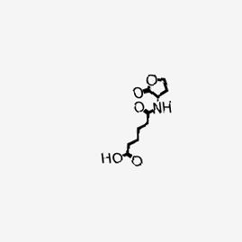 O=C(O)CCCCC(=O)N[C@H]1CCOC1=O